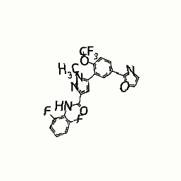 Cn1nc(C(=O)Nc2c(F)cccc2F)cc1-c1cc(-c2ncco2)ccc1OC(F)(F)F